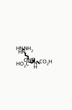 N=C(N)NCCCC(=O)NC(CC(=O)NCCC(=O)O)C(=O)O